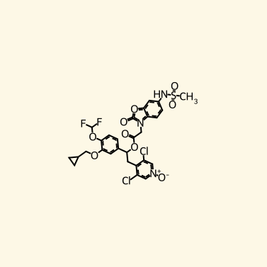 CS(=O)(=O)Nc1ccc2c(c1)oc(=O)n2CC(=O)OC(Cc1c(Cl)c[n+]([O-])cc1Cl)c1ccc(OC(F)F)c(OCC2CC2)c1